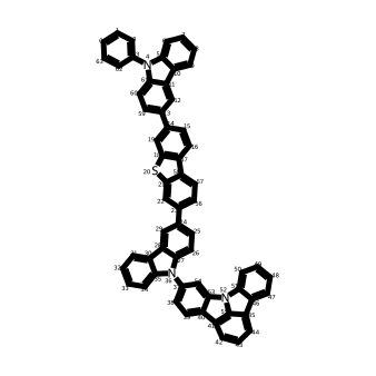 c1ccc(-n2c3ccccc3c3cc(-c4ccc5c(c4)sc4cc(-c6ccc7c(c6)c6ccccc6n7-c6ccc7c8cccc9c%10ccccc%10n(c7c6)c98)ccc45)ccc32)cc1